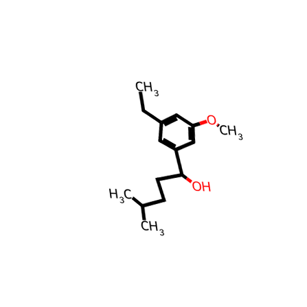 CCc1cc(OC)cc(C(O)CCC(C)C)c1